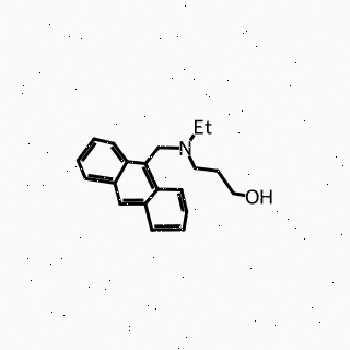 CCN(CCCO)Cc1c2ccccc2cc2ccccc12